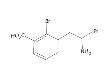 CC(C)C(N)Cc1cccc(C(=O)O)c1Br